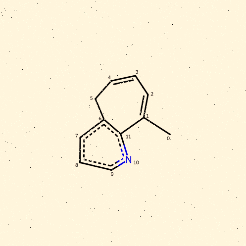 CC1=CC=CCc2cccnc21